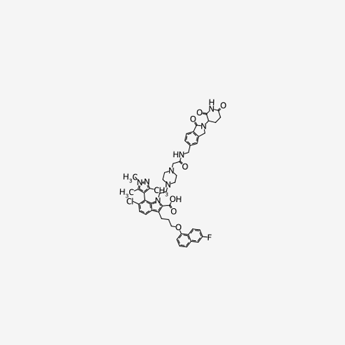 Cc1nn(C)c(C)c1-c1c(Cl)ccc2c(CCCOc3cccc4cc(F)ccc34)c(C(=O)O)n(CCN3CCN(CC(=O)NCc4ccc5c(c4)CN(C4CCC(=O)NC4=O)C5=O)CC3)c12